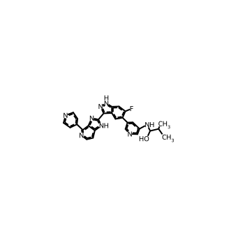 CC(C)C(O)Nc1cncc(-c2cc3c(-c4nc5c(-c6ccncc6)nccc5[nH]4)n[nH]c3cc2F)c1